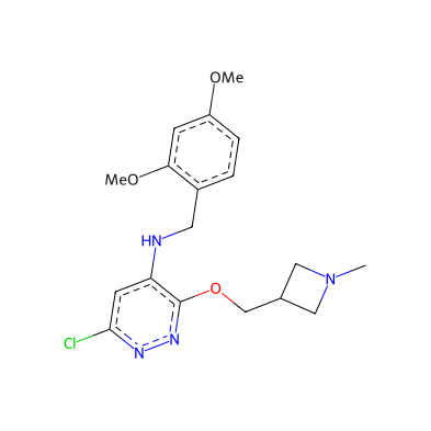 COc1ccc(CNc2cc(Cl)nnc2OCC2CN(C)C2)c(OC)c1